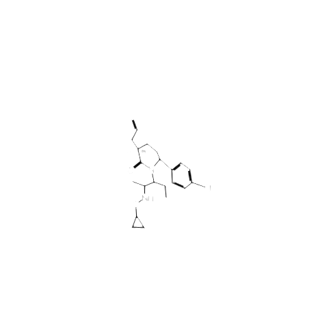 C=CC[C@@]1(C)CCC(c2ccc(Cl)cc2)N(C(CC)C(C)NSC2CC2)C1=O